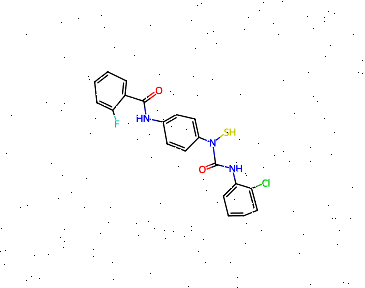 O=C(Nc1ccc(N(S)C(=O)Nc2ccccc2Cl)cc1)c1ccccc1F